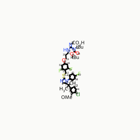 COc1cc(C(C)(C)c2cnc(SCc3c(F)cc(OCCCNC(=NC(=O)O)N(C(=O)OC(C)(C)C)C(C)(C)C)cc3F)n2-c2ccc(F)cc2)ccc1Cl